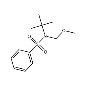 COCN(C(C)(C)C)S(=O)(=O)c1ccccc1